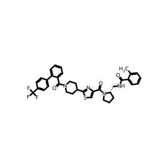 Cc1ccccc1C(=O)NC[C@@H]1CCCN1C(=O)c1csc(C2CCN(C(=O)c3ccccc3-c3ccc(C(F)(F)F)cc3)CC2)n1